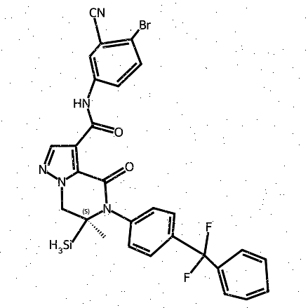 C[C@]1([SiH3])Cn2ncc(C(=O)Nc3ccc(Br)c(C#N)c3)c2C(=O)N1c1ccc(C(F)(F)c2ccccc2)cc1